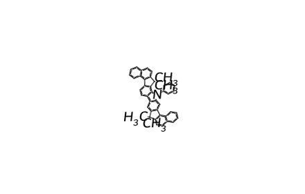 CC1(C)c2cc3c4ccc5c(c4n(-c4ccccc4)c3cc2-c2c1ccc1ccccc21)C(C)(C)c1ccc2ccccc2c1-5